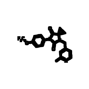 Cc1cc(CN2C(=O)N(c3ccc(OC(F)(F)F)cc3)C(=O)C23CC3)ccn1